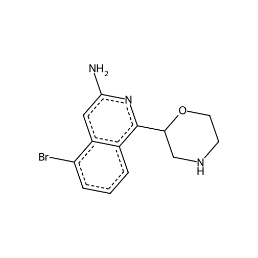 Nc1cc2c(Br)cccc2c(C2CNCCO2)n1